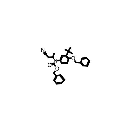 CC(CC#N)N(C(=O)OCc1ccccc1)c1ccc(OCc2ccccc2)c(C(C)(C)C)c1